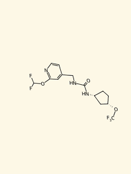 O=C(NCc1ccnc(OC(F)F)c1)N[C@@H]1CC[C@H](OC(F)(F)F)C1